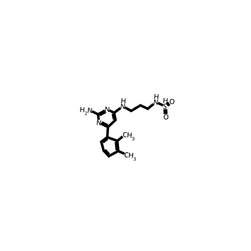 Cc1cccc(-c2cc(NCCCN[SH](=O)=O)nc(N)n2)c1C